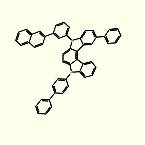 c1ccc(-c2ccc(-n3c4ccccc4c4c5c6cc(-c7ccccc7)ccc6n(-c6cccc(-c7ccc8ccccc8c7)c6)c5ccc43)cc2)cc1